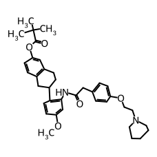 COc1ccc(C2CCc3cc(OC(=O)C(C)(C)C)ccc3C2)c(NC(=O)Cc2ccc(OCCN3CCCCC3)cc2)c1